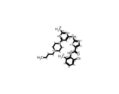 CCCCN1CCN(c2cc(Nc3ncc(C(=O)Nc4c(C)cccc4Cl)s3)nc(C)n2)CC1